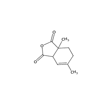 CC1=CC2C(=O)OC(=O)C2(C)CC1